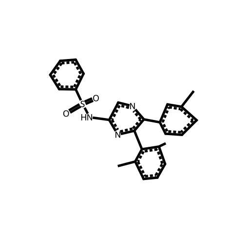 Cc1cccc(-c2ncc(NS(=O)(=O)c3ccccc3)nc2-c2c(C)cccc2C)c1